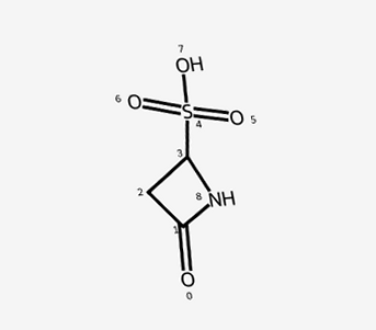 O=C1CC(S(=O)(=O)O)N1